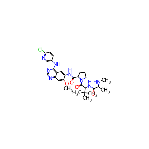 CNC(C)C(=O)NC(C(=O)N1CCCC1C(=O)Nc1cc2c(Nc3ccc(Cl)nc3)ncnc2cc1OC)C(C)(C)C